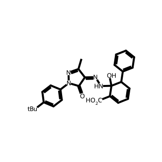 CC1=NN(c2ccc(C(C)(C)C)cc2)C(=O)/C1=N\NC1(O)C(C(=O)O)=CC=CC1c1ccccc1